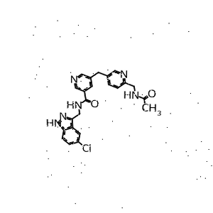 CC(=O)NCc1ccc(Cc2cncc(C(=O)NCc3n[nH]c4ccc(Cl)cc34)c2)cn1